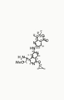 COC[C@@](C)(N)c1cnc(OC2CC2)c2cnc(Nc3ccc4c(n3)[C@@H](C)C(C)(C)OC4=O)cc12